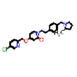 C[C@@H]1CCCN1Cc1ccc(CCn2ccc(OCc3ccc(Cl)cn3)cc2=O)cc1